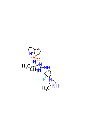 CC1CN(c2ccc(Nc3ncc4c(n3)N(S(=O)(=O)c3cccc5cccnc35)CC4(C)C)cc2F)CCN1